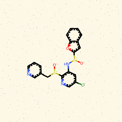 [O-][S+](Cc1cccnc1)c1ncc(Cl)cc1N[S+]([O-])c1cc2ccccc2o1